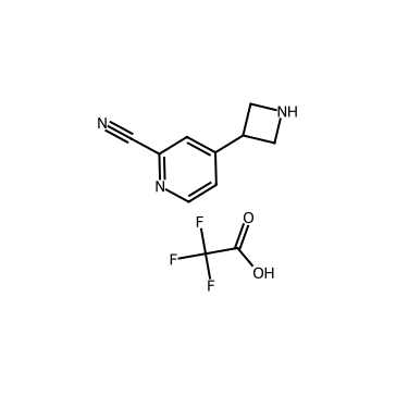 N#Cc1cc(C2CNC2)ccn1.O=C(O)C(F)(F)F